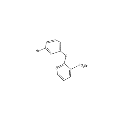 CCOC(=O)c1cccnc1Oc1cccc(C(C)=O)c1